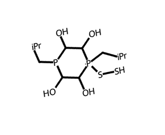 CC(C)CP1C(O)C(O)[P](CC(C)C)(SS)C(O)C1O